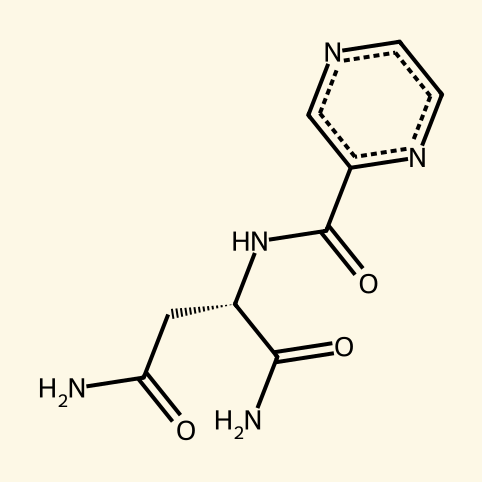 NC(=O)C[C@H](NC(=O)c1cnccn1)C(N)=O